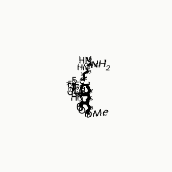 COC(=O)Cc1cc2ccc(OCCCNC(=N)N)cc2[nH]c1=O.O=C(O)C(F)(F)F